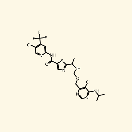 CC(C)Nc1ncnc(COCNC(C)c2ncc(C(=O)Nc3cc(C(F)(F)F)c(Cl)cn3)s2)c1Cl